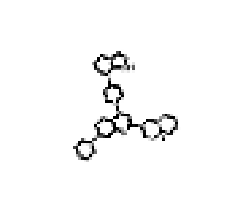 CC12C=CC=CC1=CC(c1cc(-c3ccc(-c4cccc5cc[nH]c45)cc3)c3ccc(-c4ccccc4)cc3n1)=CC2